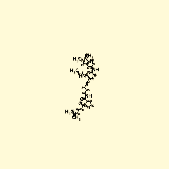 CCCNc1nc(Nc2cnc3c(c2)CN(C)N3C)ncc1C#CCCCNC(=O)[C@@H]1CCCN1C(=O)/C=C/CN(C)C